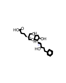 O=C(O)CCC[C@H]1CC[C@@H]2[C@@H](/C=C/[C@@H](O)CCc3ccccc3)[C@H](O)C[C@@H]2OC1